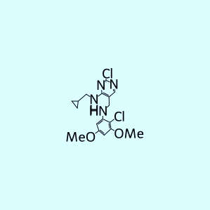 COc1cc(NCc2cnc(Cl)nc2NCC2CC2)c(Cl)c(OC)c1